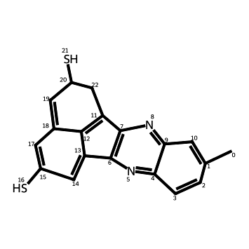 Cc1ccc2nc3c(nc2c1)C1=c2c-3cc(S)cc2=CC(S)C1